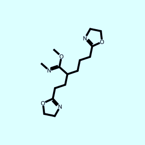 C/N=C(\OC)C(CCCC1=NCCO1)CCC1=NCCO1